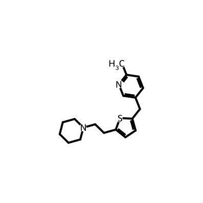 Cc1ccc(Cc2ccc(CCN3CCCCC3)s2)cn1